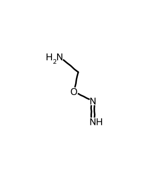 N=NOCN